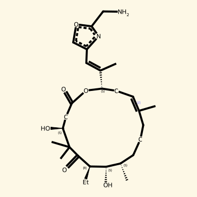 CC[C@H]1C(=O)C(C)(C)[C@@H](O)CC(=O)O[C@H](C(C)=Cc2coc(CN)n2)C/C=C(/C)CCC[C@H](C)[C@@H]1O